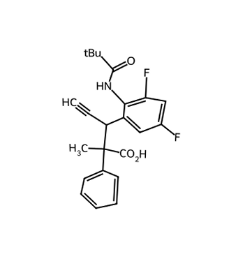 C#CC(c1cc(F)cc(F)c1NC(=O)C(C)(C)C)C(C)(C(=O)O)c1ccccc1